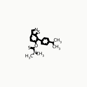 CC(C)c1ccc(-c2c(OC(=S)N(C)C)ccc3cnsc23)cc1